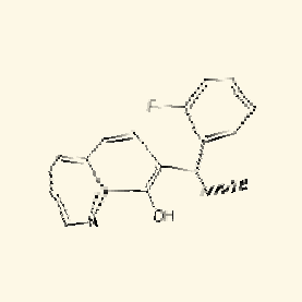 CNC(c1ccccc1F)c1ccc2cccnc2c1O